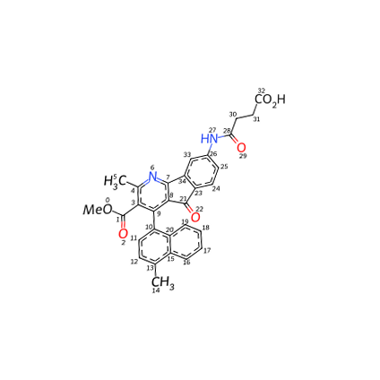 COC(=O)c1c(C)nc2c(c1-c1ccc(C)c3ccccc13)C(=O)c1ccc(NC(=O)CCC(=O)O)cc1-2